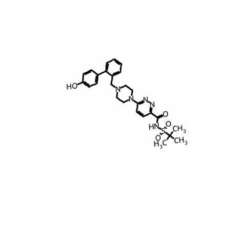 CC(C)(C)S(=O)(=O)NC(=O)c1ccc(N2CCN(Cc3ccccc3-c3ccc(O)cc3)CC2)nn1